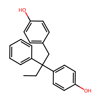 CCC(Cc1ccc(O)cc1)(c1ccccc1)c1ccc(O)cc1